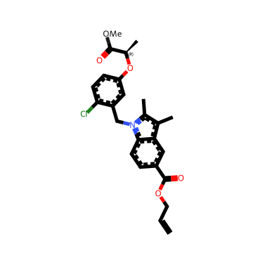 C=CCOC(=O)c1ccc2c(c1)c(C)c(C)n2Cc1cc(O[C@H](C)C(=O)OC)ccc1Cl